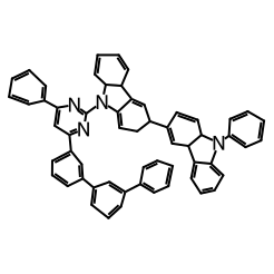 C1=CC2C3=CC(C4=CC5c6ccccc6N(c6ccccc6)C5C=C4)CC=C3N(c3nc(-c4ccccc4)cc(-c4cccc(-c5cccc(-c6ccccc6)c5)c4)n3)C2C=C1